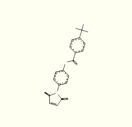 O=C(Oc1ccc(N2C(=O)C=CC2=O)cc1)c1ccc(C(F)(F)F)cc1